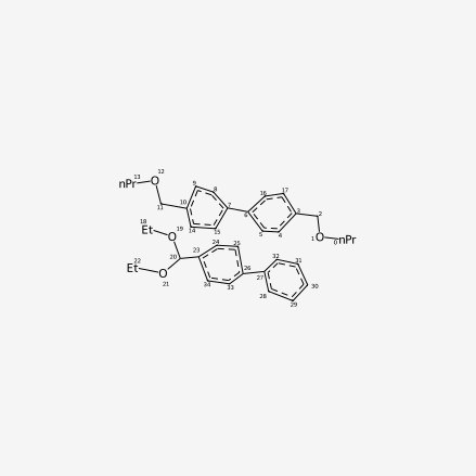 CCCOCc1ccc(-c2ccc(COCCC)cc2)cc1.CCOC(OCC)c1ccc(-c2ccccc2)cc1